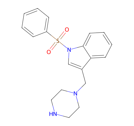 O=S(=O)(c1ccccc1)n1cc(CN2CCNCC2)c2ccccc21